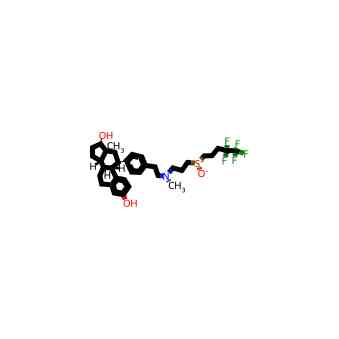 CN(CCC[S+]([O-])CCCC(F)(F)C(F)(F)F)CCc1ccc([C@H]2C[C@]3(C)[C@@H](O)CC[C@H]3[C@@H]3CCc4cc(O)ccc4[C@H]32)cc1